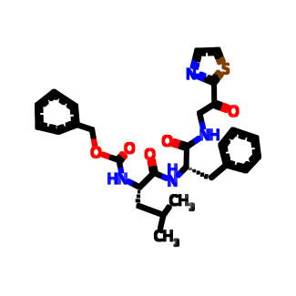 CC(C)C[C@H](NC(=O)OCc1ccccc1)C(=O)N[C@@H](Cc1ccccc1)C(=O)NCC(=O)c1nccs1